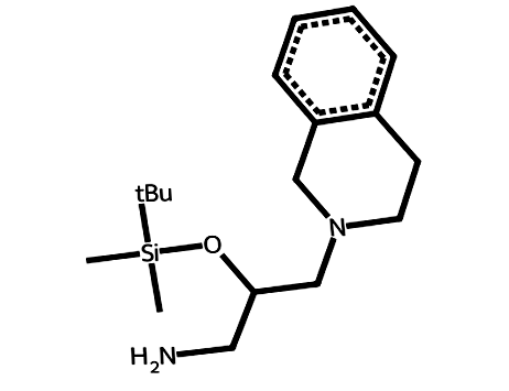 CC(C)(C)[Si](C)(C)OC(CN)CN1CCc2ccccc2C1